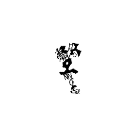 C=Cc1c(-c2ccc(NC(=O)[C@@H](NC(=O)c3ccnn3C(C)C)C(C3CC3)C3CC3)cc2)c(C)nn1COCC[Si](C)(C)C